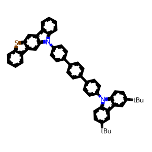 CC(C)(C)c1ccc2c(c1)c1cc(C(C)(C)C)ccc1n2-c1ccc(-c2ccc(-c3ccc(-n4c5ccccc5c5cc6sc7ccccc7c6cc54)cc3)cc2)cc1